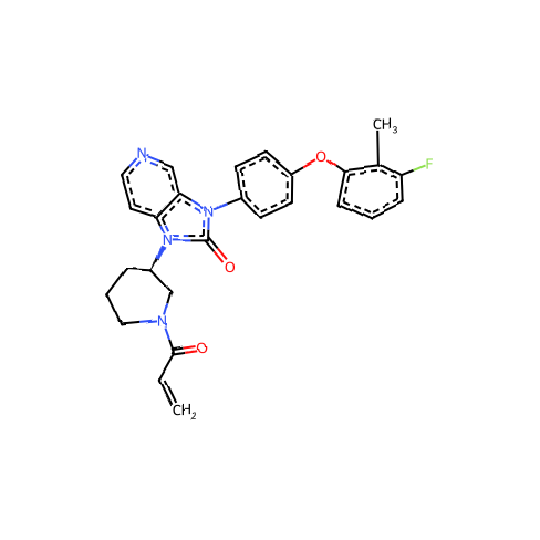 C=CC(=O)N1CCC[C@@H](n2c(=O)n(-c3ccc(Oc4cccc(F)c4C)cc3)c3cnccc32)C1